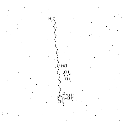 CCCCCCCCCCCCCCCCCC(CCCCC[Si](OC)(OC)OC)N(C)C.Cl